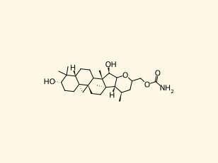 C[C@@H]1CC(COC(N)=O)OC2[C@H]1[C@@]1(C)CC[C@@]34C[C@@]35CC[C@H](O)C(C)(C)[C@@H]5CCC4[C@]1(C)[C@H]2O